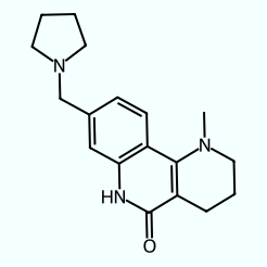 CN1CCCc2c1c1ccc(CN3CCCC3)cc1[nH]c2=O